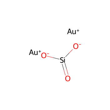 O=[Si]([O-])[O-].[Au+].[Au+]